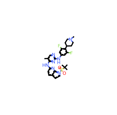 Cc1cnc(Nc2cc(F)c(C3CCN(C)CC3)c(F)c2)nc1Nc1ccc2ccn(S(=O)(=O)C(C)(C)C)c2n1